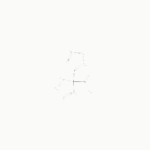 NC(=O)C1(c2cc[nH]n2)C=CN=N1